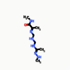 CN/N=C(\C)NCNC/N=C(\C)C(=O)NC